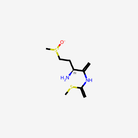 C=C(NC(=C)[C@@H](N)CC[S+](C)[O-])SC